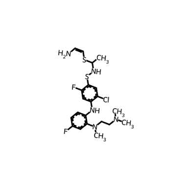 CC(NSc1cc(Cl)c(Nc2ccc(F)cc2N(C)CCN(C)C)cc1F)S/C=C\N